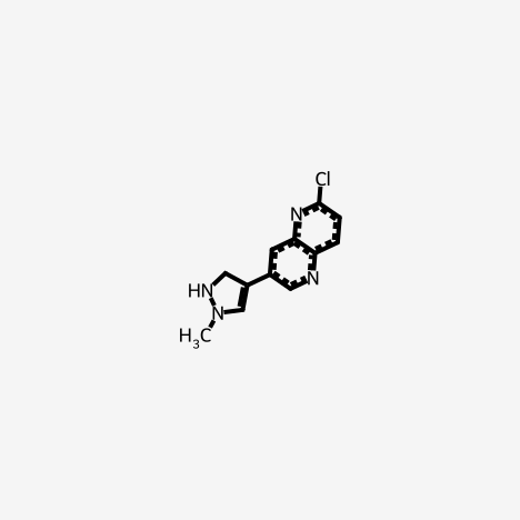 CN1C=C(c2cnc3ccc(Cl)nc3c2)CN1